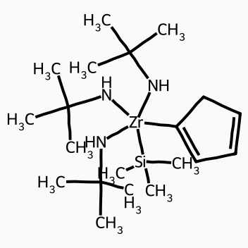 CC(C)(C)[NH][Zr]([NH]C(C)(C)C)([NH]C(C)(C)C)([C]1=CC=CC1)[Si](C)(C)C